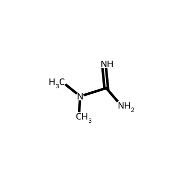 CN(C)C(=N)N